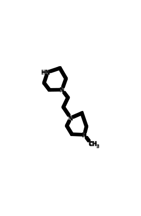 CN1CCN(CCN2CCNCC2)CC1